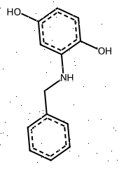 Oc1ccc(O)c(NCc2ccccc2)c1